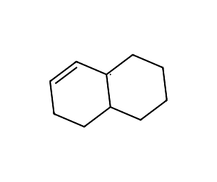 C1=C[C]2CCCCC2CC1